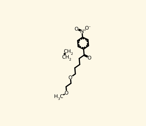 C=C.COCCOCCCCC(=O)c1ccc([N+](=O)[O-])cc1